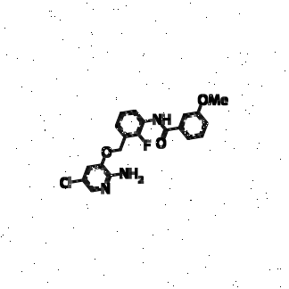 COc1cccc(C(=O)Nc2cccc(COc3cc(Cl)cnc3N)c2F)c1